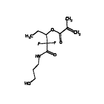 C=C(C)C(=O)OC(CC)C(F)(F)C(=O)NCCCO